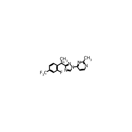 Cc1nccc(-n2cnc([C@H](C)c3ccc(C(F)(F)F)cc3F)n2)n1